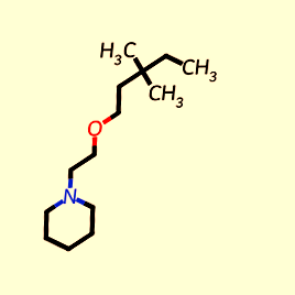 CCC(C)(C)CCOCCN1CCCCC1